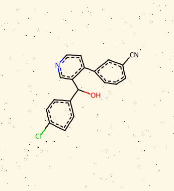 N#Cc1cccc(-c2ccncc2C(O)c2ccc(Cl)cc2)c1